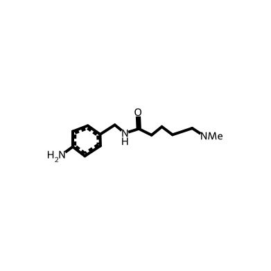 CNCCCCC(=O)NCc1ccc(N)cc1